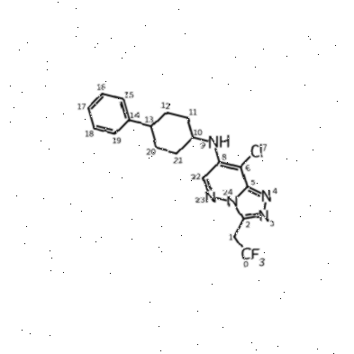 FC(F)(F)Cc1nnc2c(Cl)c(NC3CCC(c4ccccc4)CC3)cnn12